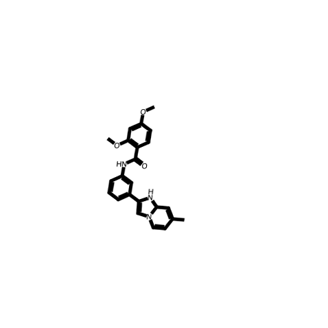 COc1ccc(C(=O)Nc2cccc(C3=CN4C=CC(C)=CC4N3)c2)c(OC)c1